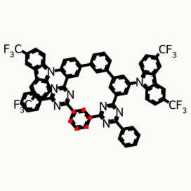 FC(F)(F)c1ccc2c(c1)c1cc(C(F)(F)F)ccc1n2-c1cc(-c2cccc(-c3ccc(-n4c5ccc(C(F)(F)F)cc5c5cc(C(F)(F)F)ccc54)c(-c4nc(-c5ccccc5)nc(-c5ccccc5)n4)c3)c2)cc(-c2nc(-c3ccccc3)nc(-c3ccccc3)n2)c1